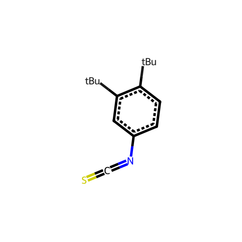 CC(C)(C)c1ccc(N=C=S)cc1C(C)(C)C